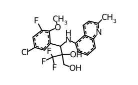 COc1c(F)cc(Cl)cc1C(Nc1cccc2nc(C)ccc12)C(O)(CO)C(F)(F)F